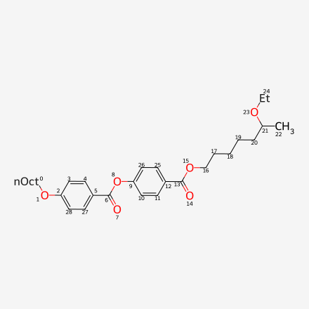 CCCCCCCCOc1ccc(C(=O)Oc2ccc(C(=O)OCCCCCC(C)OCC)cc2)cc1